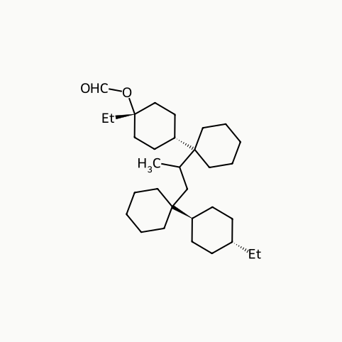 CC[C@H]1CC[C@H](C2(CC(C)C3([C@H]4CC[C@@](CC)(OC=O)CC4)CCCCC3)CCCCC2)CC1